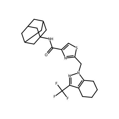 O=C(NC12CC3CC(CC(C3)C1)C2)c1csc(Cn2nc(C(F)(F)F)c3c2CCCC3)n1